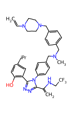 C=CN1CCN(Cc2ccc(CN(C)Cc3ccc(-n4c(C(=C)NCC(F)(F)F)nnc4-c4cc(C(C)C)ccc4O)cc3)cc2)CC1